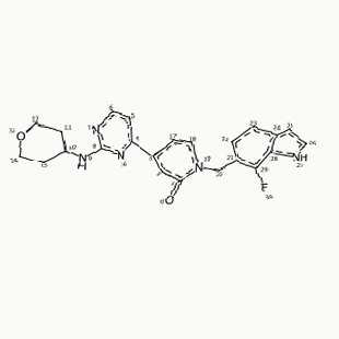 O=c1cc(-c2ccnc(NC3CCOCC3)n2)ccn1Cc1ccc2cc[nH]c2c1F